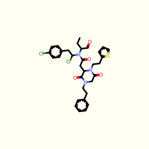 CCC(C=O)N(C(=O)CC1C(=O)N(CCc2ccccc2)CC(=O)N1CCc1cccs1)C(Cl)Cc1ccc(Cl)cc1